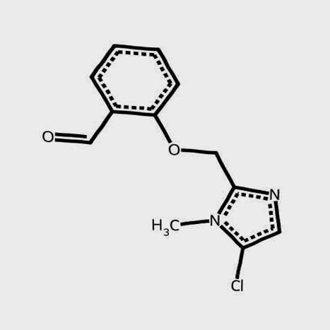 Cn1c(Cl)cnc1COc1ccccc1C=O